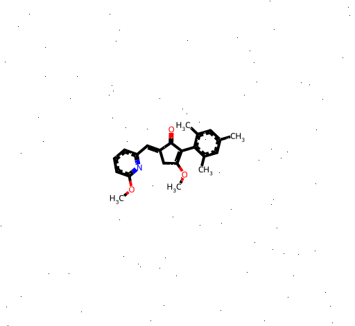 COC1=C(c2c(C)cc(C)cc2C)C(=O)/C(=C/c2cccc(OC)n2)C1